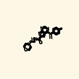 Cc1ccc(Nc2ncnc3sc(C(=O)NCCN4CCOCC4)cc23)cc1